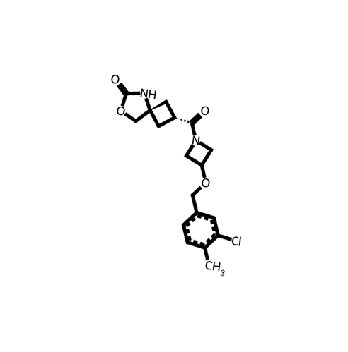 Cc1ccc(COC2CN(C(=O)[C@H]3C[C@]4(COC(=O)N4)C3)C2)cc1Cl